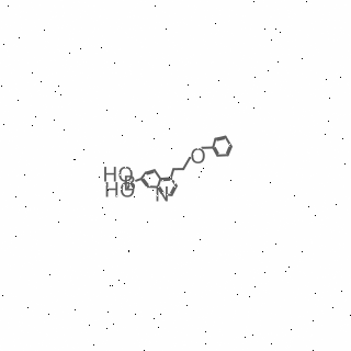 OB(O)c1ccc2c(CCCOCc3ccccc3)ccnc2c1